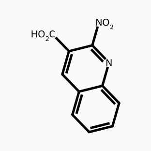 O=C(O)c1cc2ccccc2nc1[N+](=O)[O-]